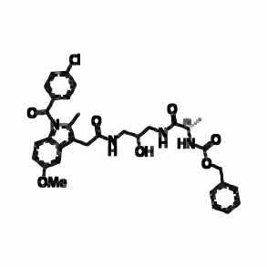 COc1ccc2c(c1)c(CC(=O)NCC(O)CNC(=O)[C@H](C)NC(=O)OCc1ccccc1)c(C)n2C(=O)c1ccc(Cl)cc1